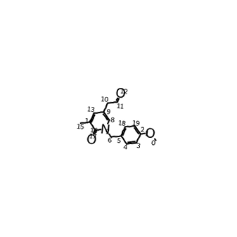 COc1ccc(Cn2cc(CC=O)cc(C)c2=O)cc1